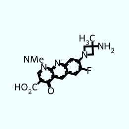 CNn1cc(C(=O)O)c(=O)c2cc3cc(F)c(N4CC(C)(N)C4)cc3nc21